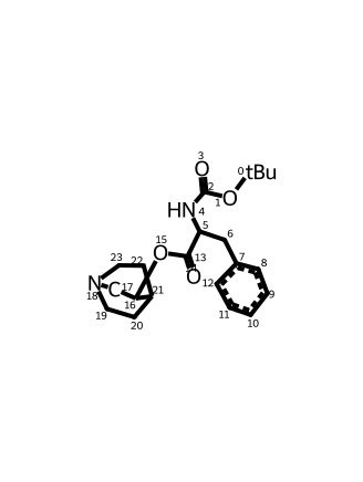 CC(C)(C)OC(=O)NC(Cc1ccccc1)C(=O)OC1CN2CCC1CC2